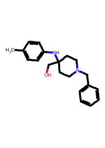 Cc1ccc(NC2(CO)CCN(Cc3ccccc3)CC2)cc1